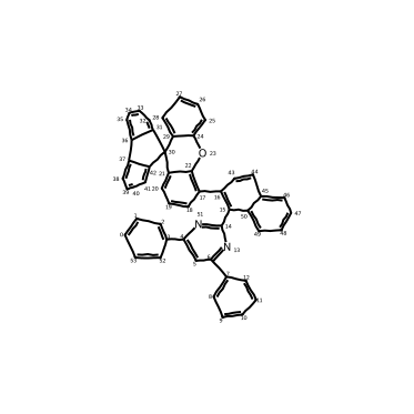 c1ccc(-c2cc(-c3ccccc3)nc(-c3c(-c4cccc5c4Oc4ccccc4C54c5ccccc5-c5ccccc54)ccc4ccccc34)n2)cc1